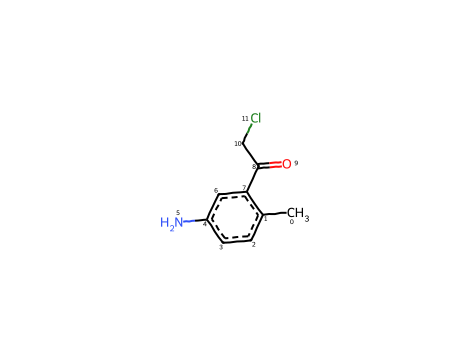 Cc1ccc(N)cc1C(=O)CCl